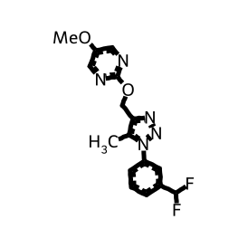 COc1cnc(OCc2nnn(-c3cccc(C(F)F)c3)c2C)nc1